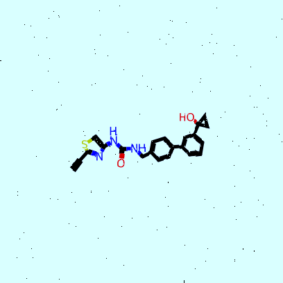 C#Cc1nc(NC(=O)NCc2ccc(-c3cccc(C4(O)CC4)c3)cc2)cs1